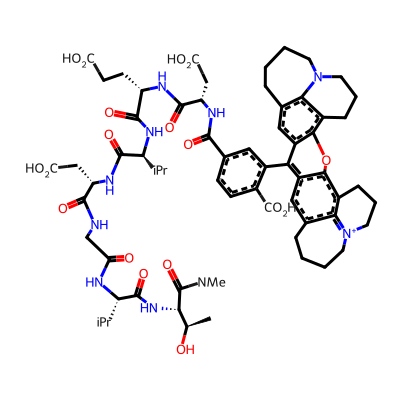 CNC(=O)[C@@H](NC(=O)[C@@H](NC(=O)CNC(=O)[C@H](CC(=O)O)NC(=O)[C@@H](NC(=O)[C@H](CCC(=O)O)NC(=O)[C@H](CC(=O)O)NC(=O)c1ccc(C(=O)O)c(C2=c3cc4c5c(c3Oc3c2cc2c6c3CCCN6CCCC2)CCC[N+]=5CCCC4)c1)C(C)C)C(C)C)[C@@H](C)O